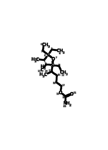 CC[Si](CC)(CC)O[Si](CC)(CC)C(C)CCCOC(N)=O